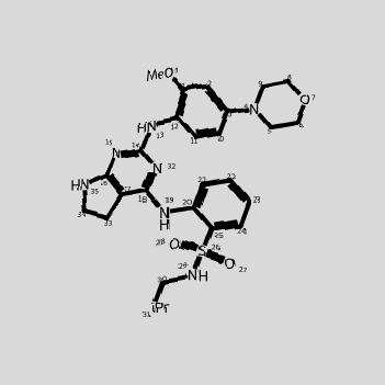 COc1cc(N2CCOCC2)ccc1Nc1nc2c(c(Nc3ccccc3S(=O)(=O)NCC(C)C)n1)CCN2